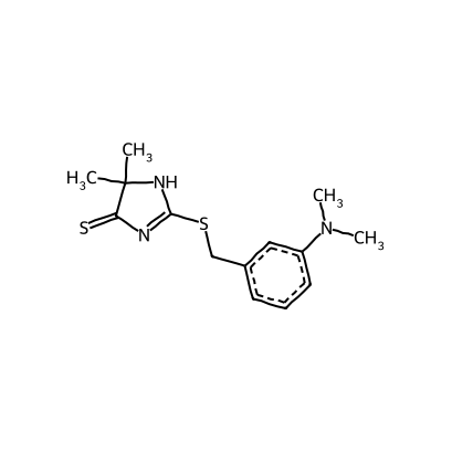 CN(C)c1cccc(CSC2=NC(=S)C(C)(C)N2)c1